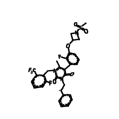 Cc1c(-c2cccc(OC3CN(S(C)(=O)=O)C3)c2F)c(=O)n(C[CH]c2ccccc2)c(=O)n1Cc1c(F)cccc1C(F)(F)F